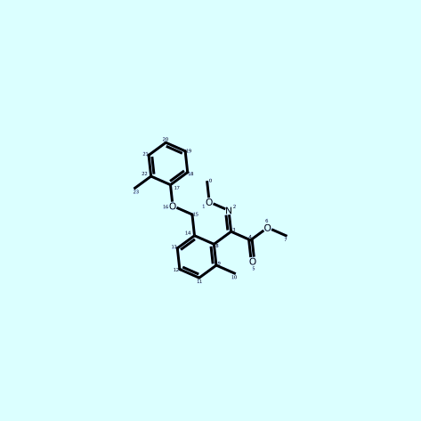 CO/N=C(/C(=O)OC)c1c(C)cccc1COc1ccccc1C